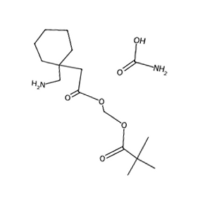 CC(C)(C)C(=O)OCOC(=O)CC1(CN)CCCCC1.NC(=O)O